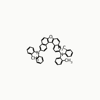 Cc1ccccc1N(c1ccccc1)c1ccc2c(ccc3oc4ccc5cc(N(c6ccccc6C)c6ccccc6C)ccc5c4c32)c1